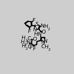 CC1OC(c2c(NC(=O)c3nc(-c4c(F)cccc4F)sc3N)cnn2C)CC(F)(F)C1(C)N